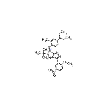 CCN(CC)c1ccc(/N=C2/C(C(C)(C)C)=Nn3c2nnc3-c2cc([N+](=O)[O-])ccc2OC)c(C)c1